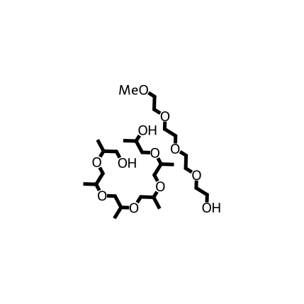 CC(O)COC(C)COC(C)COC(C)COC(C)COC(C)CO.COCCOCCOCCOCCO